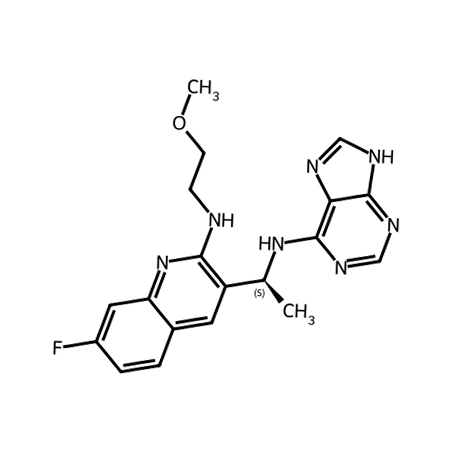 COCCNc1nc2cc(F)ccc2cc1[C@H](C)Nc1ncnc2[nH]cnc12